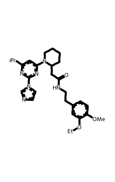 CCOc1cc(CCNC(=O)CC2CCCCN2c2cc(C(C)C)nc(-n3ccnc3)n2)ccc1OC